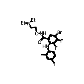 CCN(CC)CCONC(=O)c1cc(Br)c(F)c(F)c1Nc1ccc(I)cc1C